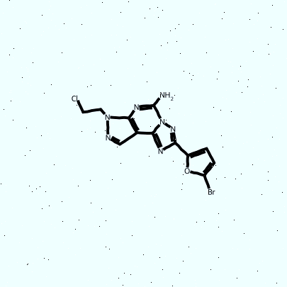 Nc1nc2c(cnn2CCCl)c2nc(-c3ccc(Br)o3)nn12